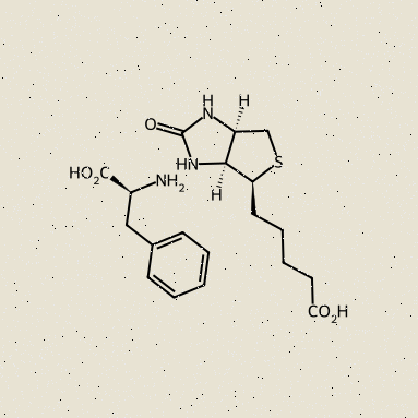 N[C@@H](Cc1ccccc1)C(=O)O.O=C(O)CCCC[C@@H]1SC[C@@H]2NC(=O)N[C@@H]21